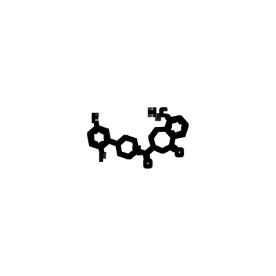 Cc1cccc2c1CCC(C(=O)N1CCC(c3cc(F)ccc3F)CC1)CC2=O